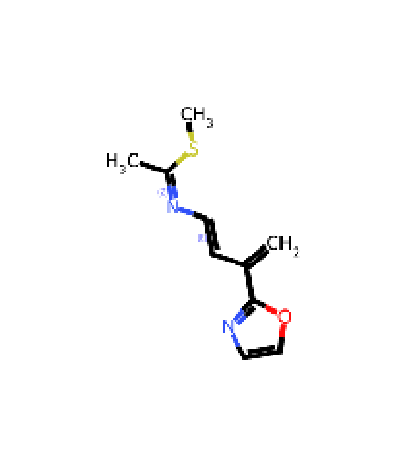 C=C(/C=C/N=C(/C)SC)c1ncco1